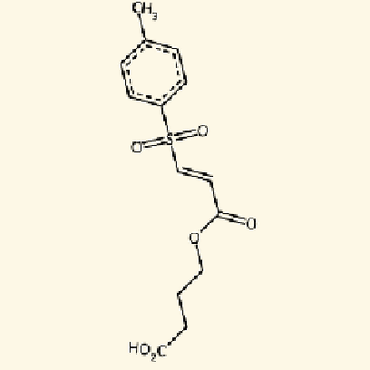 Cc1ccc(S(=O)(=O)C=CC(=O)OCCCC(=O)O)cc1